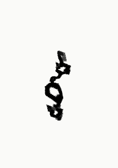 Clc1cnc(COc2ccc(-n3cncn3)cc2)cn1